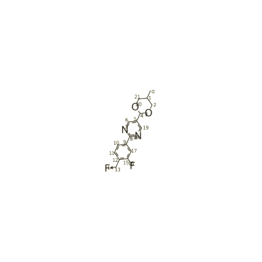 CC1COC(c2cnc(-c3ccc(CF)c(F)c3)nc2)OC1